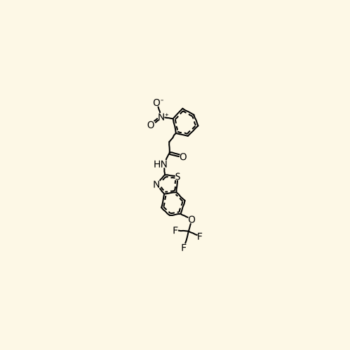 O=C(Cc1ccccc1[N+](=O)[O-])Nc1nc2ccc(OC(F)(F)F)cc2s1